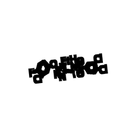 CCn1c(Oc2ccc(F)c(Cl)c2)nnc1[C@@H](C)NS(=O)(=O)c1ccc(Cl)c(Cl)c1